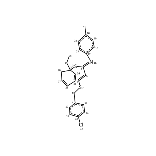 CCC1(SC(C=CSCc2ccc(Cl)cc2)=Nc2ccc(C)cc2)C=CC=CC1